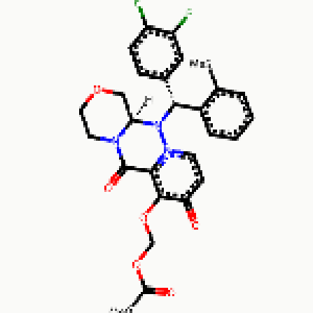 COC(=O)OCOc1c2n(ccc1=O)N([C@H](c1ccc(F)c(F)c1)c1ccccc1SC)[C@@H]1COCCN1C2=O